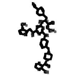 COC(=O)[C@H](Cc1ccc(C#N)cc1)Nc1nc(NCc2nccn2C)nc(Nc2cccc(CN3CCN(C(=O)c4nccnc4O)CC3)c2)n1